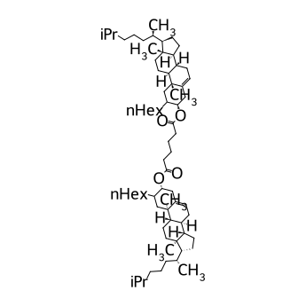 CCCCCCC1C[C@@]2(C)C(=CC[C@H]3[C@@H]4CC[C@H]([C@H](C)CCCC(C)C)[C@@]4(C)CC[C@@H]32)C[C@H]1OC(=O)CCCCC(=O)O[C@@H]1CC2=CC[C@H]3[C@@H]4CC[C@H]([C@H](C)CCCC(C)C)[C@@]4(C)CC[C@@H]3[C@@]2(C)CC1CCCCCC